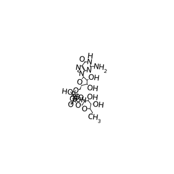 CCC1O[C@H](OP(=O)(O)OP(=O)(O)OC[C@H]2O[C@@H](n3cnc4c(=O)[nH]c(N)nc43)[C@@H](O)[C@H]2O)C(O)C(O)[C@@H]1O